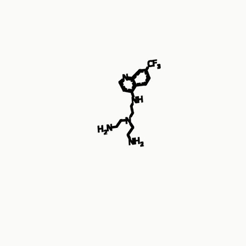 NCCN(CCN)CCNc1ccnc2cc(C(F)(F)F)ccc12